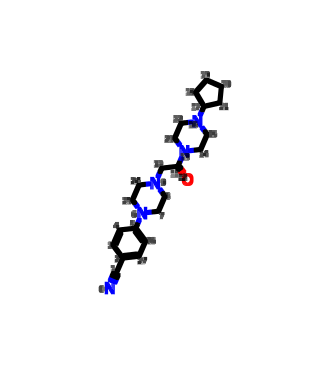 N#Cc1ccc(N2CCN(CC(=O)N3CCN(C4CCCC4)CC3)CC2)cc1